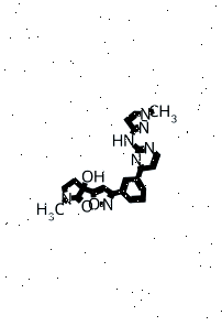 CN1CCC(O)(c2cc(-c3cccc(-c4ccnc(Nc5ccn(C)n5)n4)c3)no2)C1=O